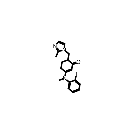 Cc1nccn1CC1CCC(N(C)c2ccccc2I)=CC1=O